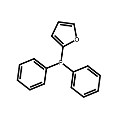 c1ccc(P(c2ccccc2)c2ccco2)cc1